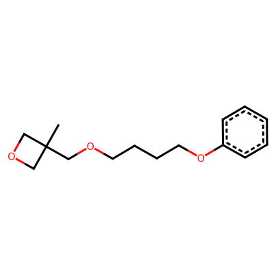 CC1(COCCCCOc2ccccc2)COC1